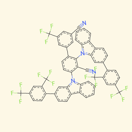 N#Cc1cc(-c2ccc(-n3c4ccccc4c4ccc(-c5ccc(C(F)(F)F)cc5C(F)(F)F)cc43)c(C#N)c2-n2c3ccccc3c3ccc(-c4ccc(C(F)(F)F)cc4C(F)(F)F)cc32)cc(C(F)(F)F)c1